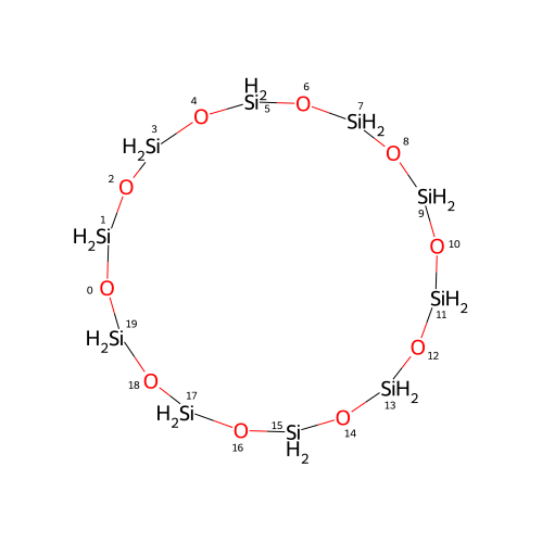 O1[SiH2]O[SiH2]O[SiH2]O[SiH2]O[SiH2]O[SiH2]O[SiH2]O[SiH2]O[SiH2]O[SiH2]1